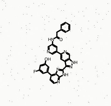 O=C(Cc1ccccc1)Nc1cncc(-c2cc3c(-c4nc5c(-c6cc(O)cc(F)c6)ccnc5[nH]4)n[nH]c3cn2)c1